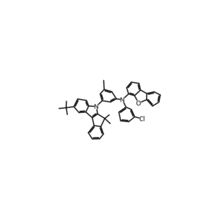 Cc1cc(N(c2cccc(Cl)c2)c2cccc3c2oc2ccccc23)cc(-n2c3c(c4cc(C(C)(C)C)ccc42)-c2ccccc2C3(C)C)c1